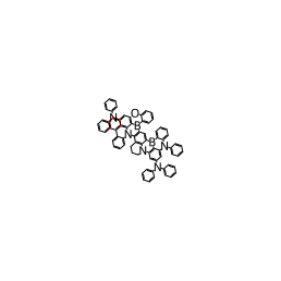 c1ccc(-c2ccccc2N2c3cc(N(c4ccccc4)c4ccccc4)cc4c3B(c3ccccc3O4)c3cc4c5c(c32)CCCN5c2cc(N(c3ccccc3)c3ccccc3)cc3c2B4c2ccccc2N3c2ccccc2)cc1